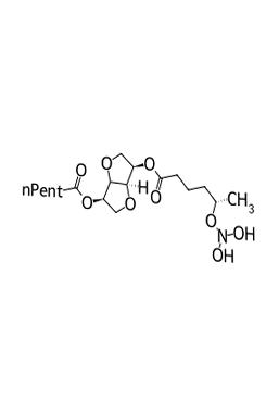 CCCCCC(=O)O[C@@H]1CO[C@H]2C1OC[C@H]2OC(=O)CCC[C@H](C)ON(O)O